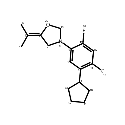 CC(C)=C1CN(c2cc(C3CCCC3)c(Cl)cc2F)CO1